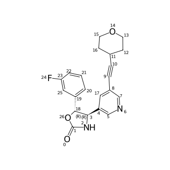 O=C1N[C@H](c2cncc(C#CC3CCOCC3)c2)[C@@H](c2cccc(F)c2)O1